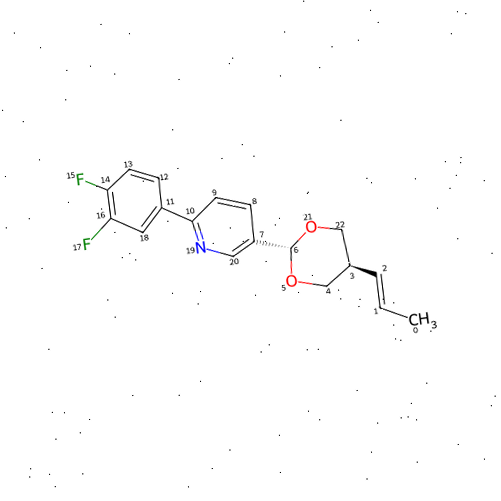 CC=C[C@H]1CO[C@H](c2ccc(-c3ccc(F)c(F)c3)nc2)OC1